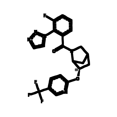 O=C(c1cccc(F)c1-n1ccnn1)N1CC2CC1[C@@H](Oc1ccc(C(F)(F)F)cn1)C2